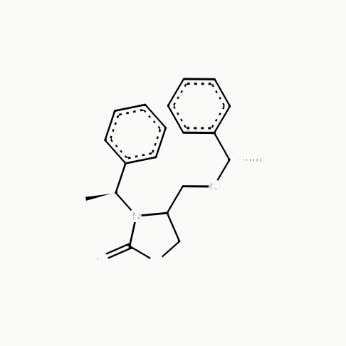 C[C@H](NCC1COC(=O)N1[C@@H](C)c1ccccc1)c1ccccc1